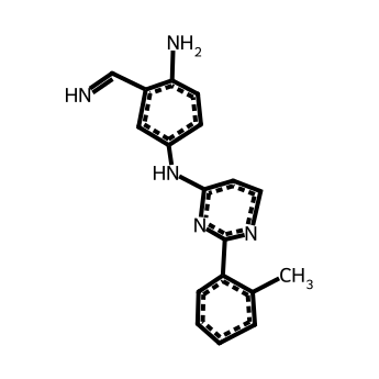 Cc1ccccc1-c1nccc(Nc2ccc(N)c(C=N)c2)n1